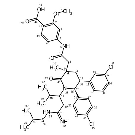 COc1cc(NC(=O)C[C@@]2(C)C[C@H](c3cccc(Cl)c3)[C@@H](c3ccc(Cl)cc3)N(C(CC(=N)NSC(C)C)C(C)C)C2=O)ccc1C(=O)O